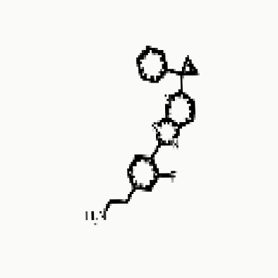 NCCc1ccc(-c2nc3ccc(C4(c5ccccc5)C=C4)nc3s2)c(F)c1